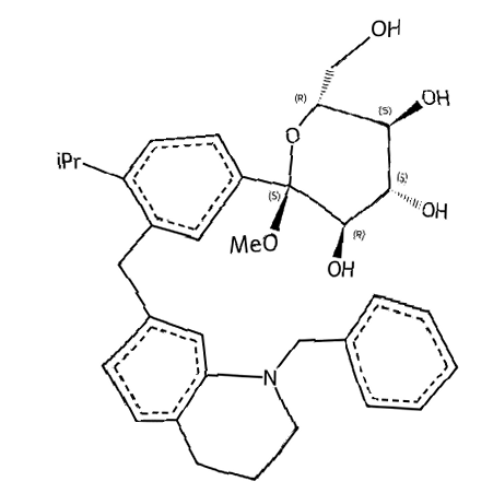 CO[C@@]1(c2ccc(C(C)C)c(Cc3ccc4c(c3)N(Cc3ccccc3)CCC4)c2)O[C@H](CO)[C@@H](O)[C@H](O)[C@H]1O